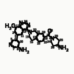 Cc1cc(-c2cncc(N)c2)cc2c(N3CCc4ccc(C(=O)N5CCC(N)CC5)cc4C3)ncnc12